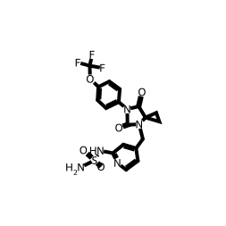 NS(=O)(=O)Nc1cc(CN2C(=O)N(c3ccc(OC(F)(F)F)cc3)C(=O)C23CC3)ccn1